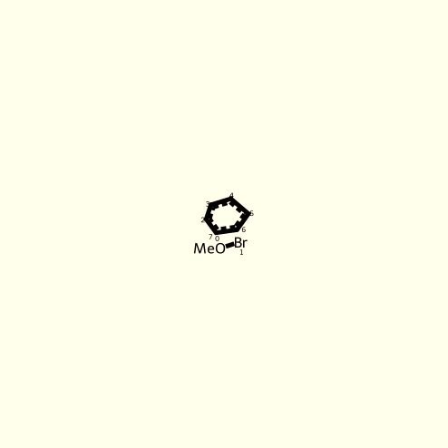 COBr.c1ccccc1